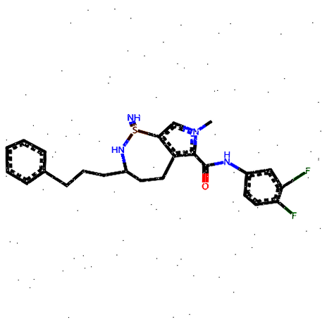 Cn1cc2c(c1C(=O)Nc1ccc(F)c(F)c1)CCC(CCCc1ccccc1)NS2=N